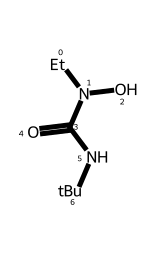 CCN(O)C(=O)NC(C)(C)C